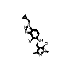 Cc1nn(C)c(Cl)c1CNc1ccc2c(nnn2CC2CC2)c1Br